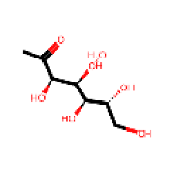 CC(=O)[C@H](O)[C@@H](O)[C@H](O)[C@H](O)CO.O